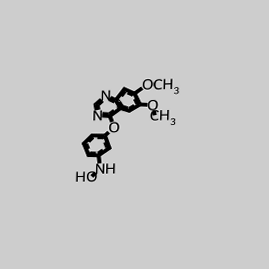 COc1cc2ncnc(Oc3cccc(NO)c3)c2cc1OC